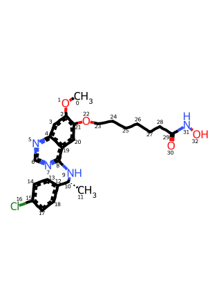 COc1cc2ncnc(N[C@H](C)c3ccc(Cl)cc3)c2cc1OCCCCCCC(=O)NO